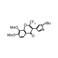 CCCCn1cc(-c2c(C(F)(F)F)oc3c(OC)c(OC)ccc3c2=O)cn1